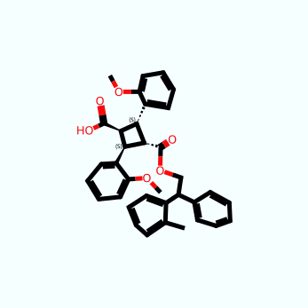 COc1ccccc1[C@H]1[C@H](C(=O)O)[C@H](c2ccccc2OC)[C@H]1C(=O)OCC(c1ccccc1)c1ccccc1C